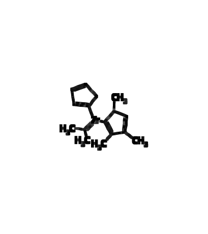 CC1=CC(C)[C]([Zr]([C]2=CC=CC2)=[C](C)C)=C1C